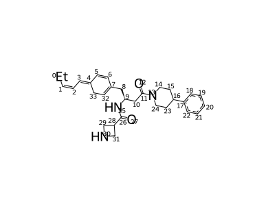 CC/C=C\C=C1\C=CC(C[C@@H](CC(=O)N2CCC(c3ccccc3)CC2)NC(=O)C2CNC2)=CC1